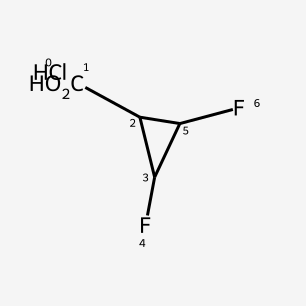 Cl.O=C(O)C1C(F)C1F